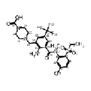 CCS(=O)(=O)c1ccc(Cl)cc1N(C)C(=O)c1cc(C(F)(F)F)cc(CN2CCN(C(=O)O)CC2)c1N